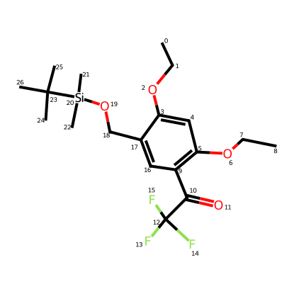 CCOc1cc(OCC)c(C(=O)C(F)(F)F)cc1CO[Si](C)(C)C(C)(C)C